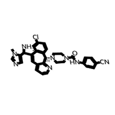 Cn1cncc1C(N)C1=Cc2cccnc2[C@@H](N2CCN(C(=O)Nc3ccc(C#N)cc3)CC2)c2ccc(Cl)cc21